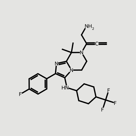 C=C=C(CN)N1CCn2c(nc(-c3ccc(F)cc3)c2NC2CCC(C(F)(F)F)CC2)C1(C)C